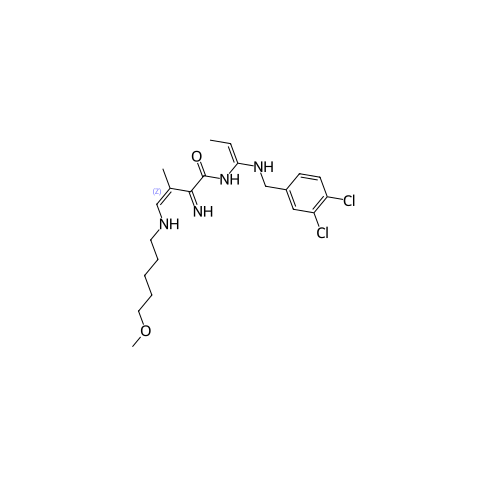 CC=C(NCc1ccc(Cl)c(Cl)c1)NC(=O)C(=N)/C(C)=C\NCCCCCOC